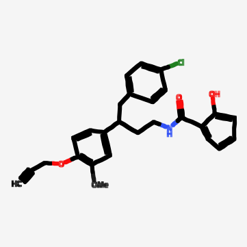 C#CCOc1ccc(C(CCNC(=O)c2ccccc2O)Cc2ccc(Cl)cc2)cc1OC